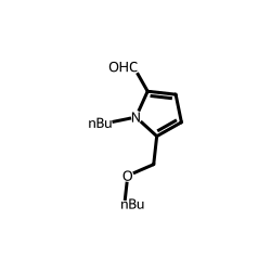 CCCCOCc1ccc(C=O)n1CCCC